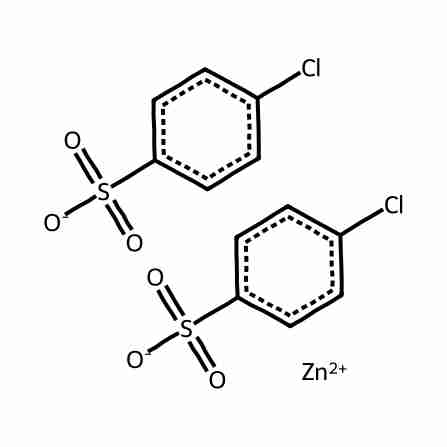 O=S(=O)([O-])c1ccc(Cl)cc1.O=S(=O)([O-])c1ccc(Cl)cc1.[Zn+2]